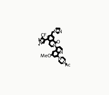 COc1cc(N2CCN(C(C)=O)CC2)c2nccc(N3CCc4c(cc(Cn5ccnc5)cc4-c4cn(C)nc4C(F)(F)F)C3=O)c2c1